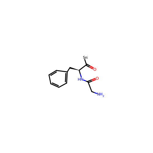 NCC(=O)N[C@@H](Cc1ccccc1)[C](=O)[Sn]